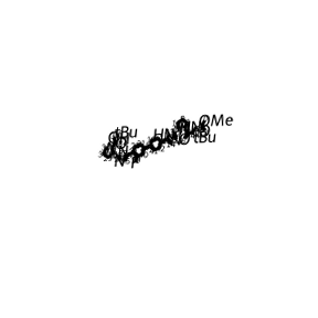 COC(=O)N[C@H](C(=O)N1CCC[C@H]1c1ncc(-c2ccc(-c3ccc(-c4cnc([C@@H]5CCCN5C(=O)OC(C)(C)C)[nH]4)c(F)c3)cc2)[nH]1)C(C)(C)C